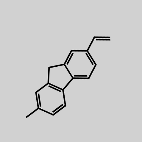 C=Cc1ccc2c(c1)Cc1cc(C)ccc1-2